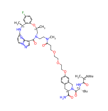 CN[C@H](C)C(=O)N[C@@H](C(=O)N1Cc2cc(OCCOCCOCCC(=O)N(C)CCN3C[C@H](C)Oc4ccc(F)cc4[C@H](C)Nc4ccn5ncc(c5n4)C3=O)ccc2C[C@@H]1C(N)=O)C(C)(C)C